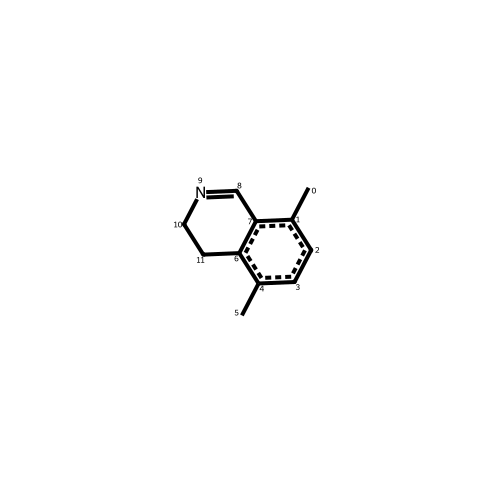 Cc1ccc(C)c2c1C=NCC2